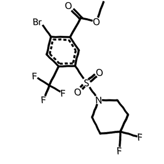 COC(=O)c1cc(S(=O)(=O)N2CCC(F)(F)CC2)c(C(F)(F)F)cc1Br